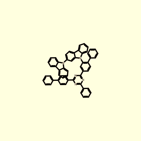 c1ccc(-c2ccc(-c3nc(-c4ccccc4)nc(-c4ccc(-c5ccccc5)c(-n5c6ccccc6c6ccc(-n7c8ccccc8c8ccccc87)cc65)c4)n3)cc2)cc1